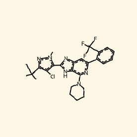 Cn1nc(C(C)(C)C)c(Cl)c1-c1nc2cc(-c3ccccc3C(F)(F)F)nc(N3CCCCC3)c2[nH]1